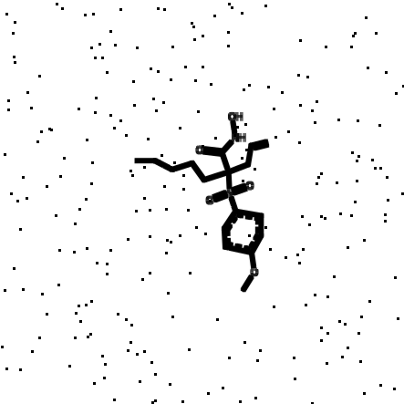 C=CCC(CCCCC)(C(=O)NO)S(=O)(=O)c1ccc(OC)cc1